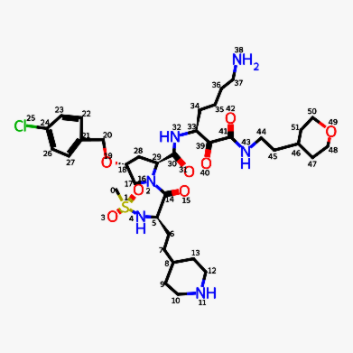 CS(=O)(=O)N[C@H](CCC1CCNCC1)C(=O)N1C[C@H](OCc2ccc(Cl)cc2)C[C@H]1C(=O)N[C@@H](CCCCN)C(=O)C(=O)NCCC1CCOCC1